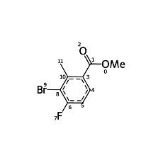 COC(=O)c1ccc(F)c(Br)c1C